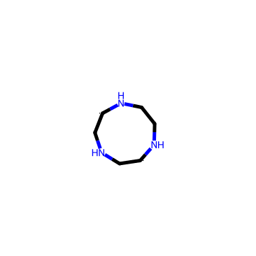 [CH]1CNC[CH]NCCN1